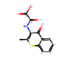 Cc1sc2ccccc2c(=O)c1NC(=O)C(=O)O